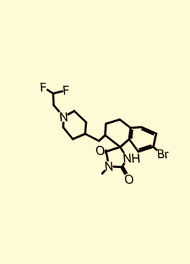 CN1C(=O)NC2(C1=O)c1cc(Br)ccc1CCC2CC1CCN(CC(F)F)CC1